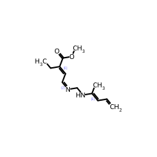 C=C/C=C(\C)NC/N=C\C=C(/CC)C(=O)OC